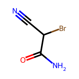 N#CC(Br)C(N)=O